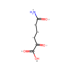 NC(=O)CCCC(=O)C(=O)O